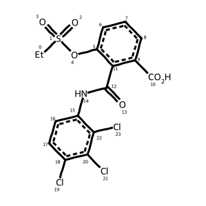 CCS(=O)(=O)Oc1cccc(C(=O)O)c1C(=O)Nc1ccc(Cl)c(Cl)c1Cl